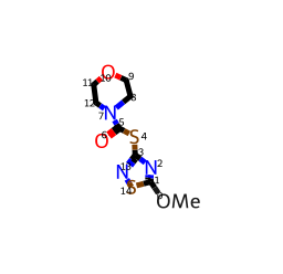 COc1nc(SC(=O)N2CCOCC2)ns1